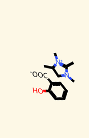 CC1=[N+](C)C(C)CN1C.O=C([O-])c1ccccc1O